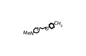 CNC1CCN(CCCOc2ccc(C)cc2)CC1